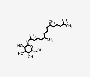 CC(C)CCCC(C)CCCC(C)CCCC(C)OC1O[C@H](CO)[C@@H](O)[C@H](O)[C@H]1O